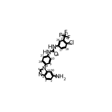 Nc1ccc2ncn(-c3ccc(NC(=O)Nc4ccc(Cl)c(C(F)(F)F)c4)cc3)c2c1